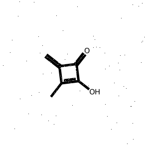 C=C1C(=O)C(O)=C1C